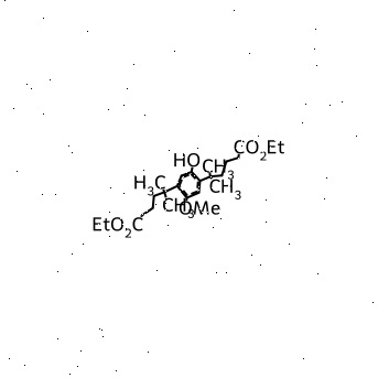 CCOC(=O)CCCC(C)(C)c1cc(OC)c(C(C)(C)CCCC(=O)OCC)cc1O